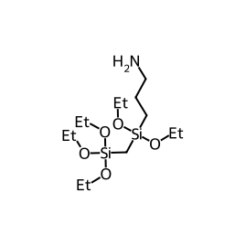 CCO[Si](CCCN)(C[Si](OCC)(OCC)OCC)OCC